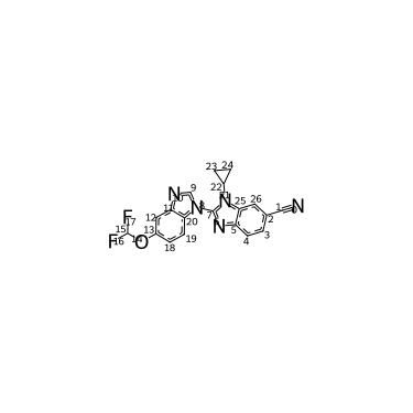 N#Cc1ccc2nc(-n3cnc4cc(OC(F)F)ccc43)n(C3CC3)c2c1